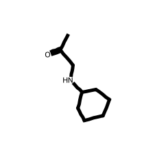 CC(=O)CNC1CCCCC1